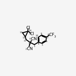 N#CC(C#N)(Cc1ccc(C(F)(F)F)cc1)CC1CC1(Cl)Cl